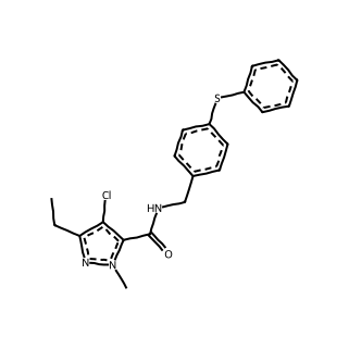 CCc1nn(C)c(C(=O)NCc2ccc(Sc3ccccc3)cc2)c1Cl